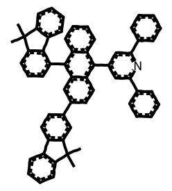 CC1(C)c2ccccc2-c2ccc(-c3ccc4c(-c5cc(-c6ccccc6)nc(-c6ccccc6)c5)c5ccccc5c(-c5cccc6c5-c5ccccc5C6(C)C)c4c3)cc21